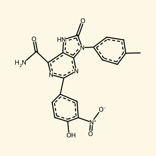 Cc1ccc(-n2c(=O)[nH]c3c(C(N)=O)nc(-c4ccc(O)c([N+](=O)[O-])c4)nc32)cc1